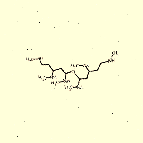 CNCCC(CC(NC)OC(CC(CCNC)NC)NC)NC